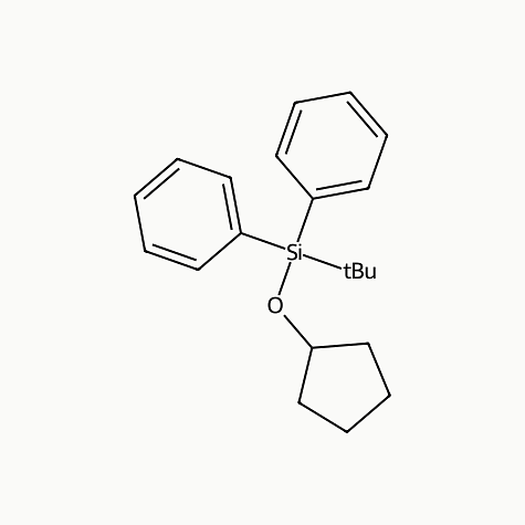 CC(C)(C)[Si](OC1CCCC1)(c1ccccc1)c1ccccc1